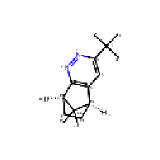 CC(C)(C)c1cc2c(nn1)[C@@H]1CC[C@H]2C1(C)C